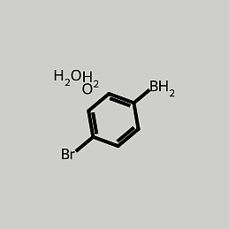 Bc1ccc(Br)cc1.O.O